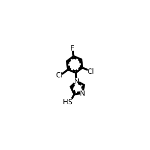 Fc1cc(Cl)c(-n2cnc(S)c2)c(Cl)c1